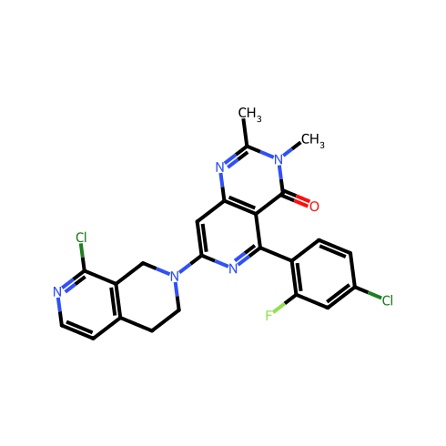 Cc1nc2cc(N3CCc4ccnc(Cl)c4C3)nc(-c3ccc(Cl)cc3F)c2c(=O)n1C